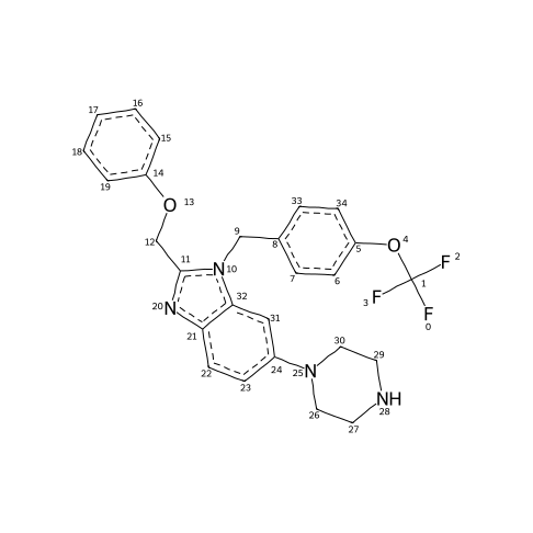 FC(F)(F)Oc1ccc(Cn2c(COc3ccccc3)nc3ccc(N4CCNCC4)cc32)cc1